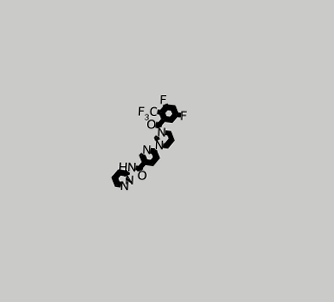 O=C(Nc1cccnn1)c1ccc(N2C=CCN(C(=O)c3cc(F)cc(F)c3C(F)(F)F)C2)nc1